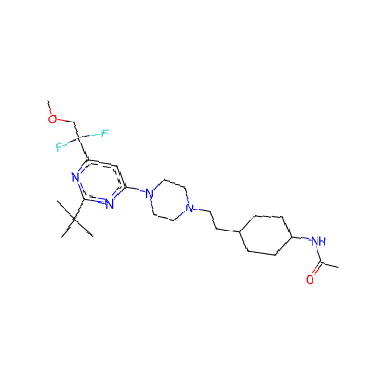 COCC(F)(F)c1cc(N2CCN(CCC3CCC(NC(C)=O)CC3)CC2)nc(C(C)(C)C)n1